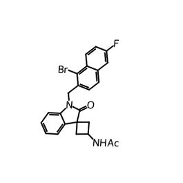 CC(=O)NC1CC2(C1)C(=O)N(Cc1ccc3cc(F)ccc3c1Br)c1ccccc12